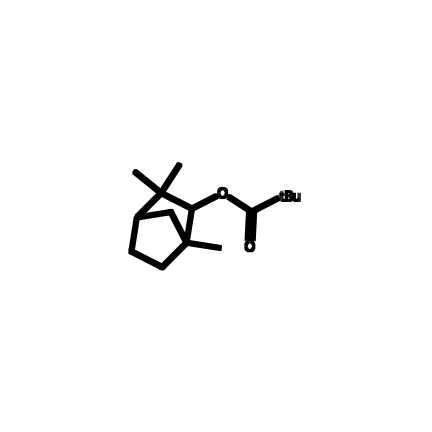 CC(C)(C)C(=O)OC1C2(C)CCC(C2)C1(C)C